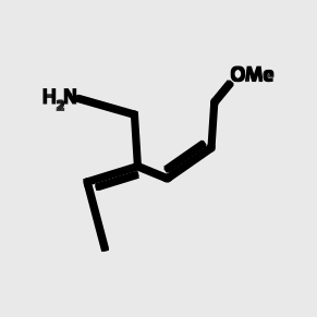 C/C=C(\C=C/COC)CN